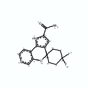 NC(=O)c1cc2c([nH]1)-c1ccncc1OC21CCC(F)(F)CC1